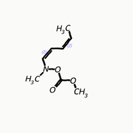 C/C=C\C=C/N(C)OC(=O)OC